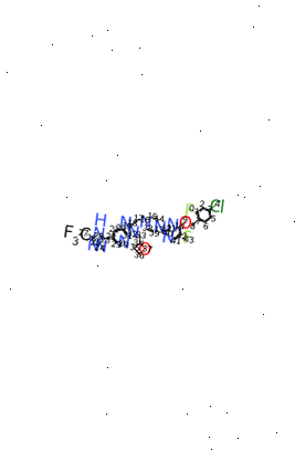 Fc1cc(Cl)ccc1COc1nc(N2CCN(Cc3nc4cc(-c5nnc(C(F)(F)F)[nH]5)cnc4n3CC3CCO3)CC2)ncc1F